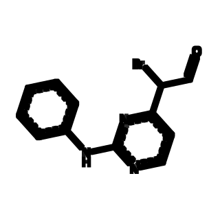 O=CC(Br)c1ccnc(Nc2ccccc2)n1